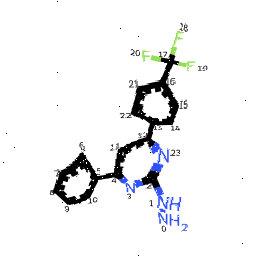 NNc1nc(-c2ccccc2)cc(-c2ccc(C(F)(F)F)cc2)n1